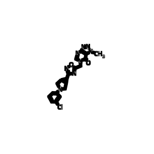 Cn1nnc2ncn(Cc3nc(C4C5CN(c6cccc(Cl)c6)CC54)no3)c(=O)c21